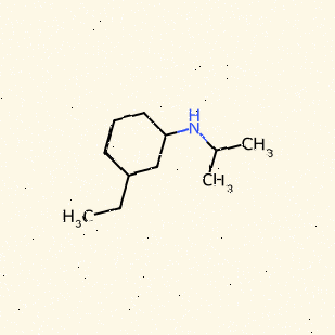 CCC1CCCC(NC(C)C)C1